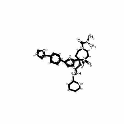 CN(C)C(=O)N1CCC(CC(=O)NOC2CCCCO2)(c2ccc(-c3ccc(-c4cnco4)cc3)s2)S(=O)(=O)CC1